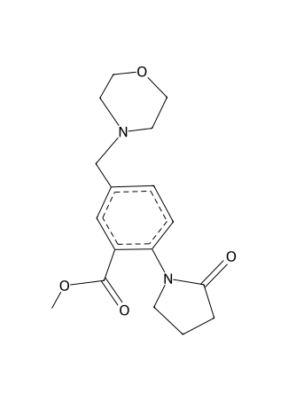 COC(=O)c1cc(CN2CCOCC2)ccc1N1CCCC1=O